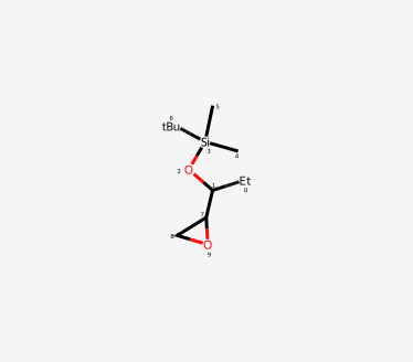 CCC(O[Si](C)(C)C(C)(C)C)C1CO1